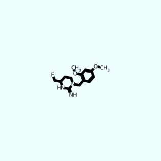 COc1ccc(CN2CCC(CF)NC2=N)c(OC)c1